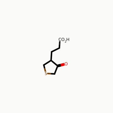 O=C(O)CCC1CSCC1=O